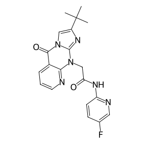 CC(C)(C)c1cn2c(=O)c3cccnc3n(CC(=O)Nc3ccc(F)cn3)c2n1